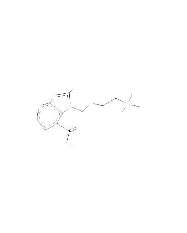 COC(=O)c1ccnc2nc(Cl)n(COCC[Si](C)(C)C)c12